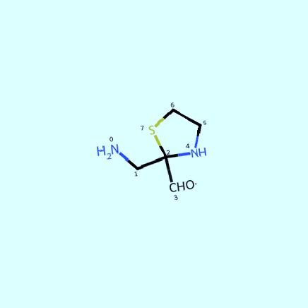 NCC1([C]=O)NCCS1